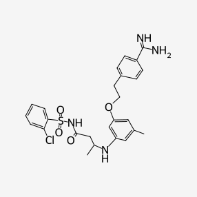 Cc1cc(NC(C)CC(=O)NS(=O)(=O)c2ccccc2Cl)cc(OCCc2ccc(C(=N)N)cc2)c1